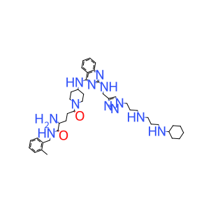 Cc1ccccc1CNC(=O)[C@@H](N)CCC(=O)N1CCC(Nc2nc(NCc3cn(CCCNCCCNC4CCCCC4)nn3)nc3ccccc23)CC1